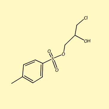 Cc1ccc(S(=O)(=O)OCC(O)CCl)cc1